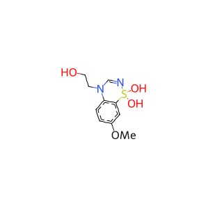 COc1ccc2c(c1)S(O)(O)N=CN2CCO